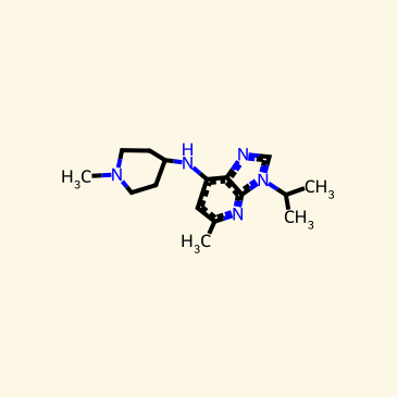 Cc1cc(NC2CCN(C)CC2)c2ncn(C(C)C)c2n1